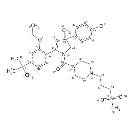 CCOc1cc(C(C)(C)C)ccc1C1=N[C@@](C)(c2ccc(Cl)cc2)CN1C(=O)N1CCN(CCCS(C)(=O)=O)CC1